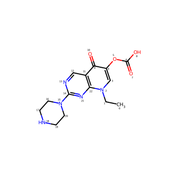 CCn1cc(OC(=O)O)c(=O)c2cnc(N3CCNCC3)nc21